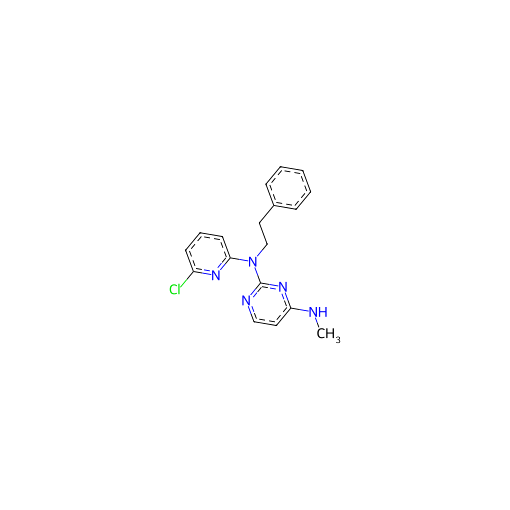 CNc1ccnc(N(CCc2ccccc2)c2cccc(Cl)n2)n1